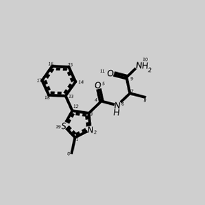 Cc1nc(C(=O)NC(C)C(N)=O)c(-c2ccccc2)s1